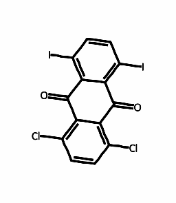 O=C1c2c(Cl)ccc(Cl)c2C(=O)c2c(I)ccc(I)c21